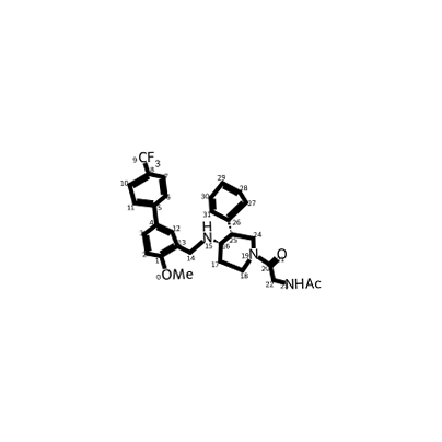 COc1ccc(-c2ccc(C(F)(F)F)cc2)cc1CN[C@H]1CCN(C(=O)CNC(C)=O)C[C@H]1c1ccccc1